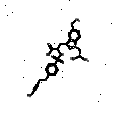 CC#CCOc1ccc(S(=O)(=O)NC(Cc2cn(CC(C)C)c3ccc(OC)cc23)C(=O)O)cc1